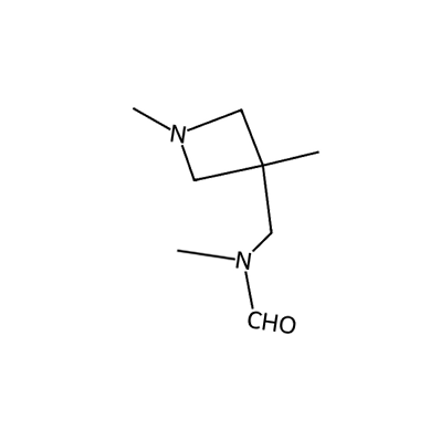 CN(C=O)CC1(C)CN(C)C1